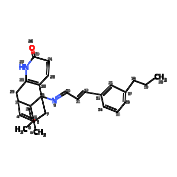 C/C=C1\C2C=C(C)CC1(/N=C/C=C/c1cccc(CCC)c1)c1ccc(=O)[nH]c1C2